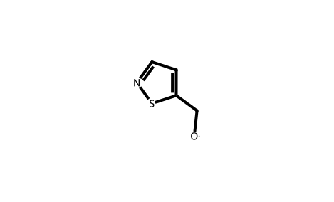 [O]Cc1ccns1